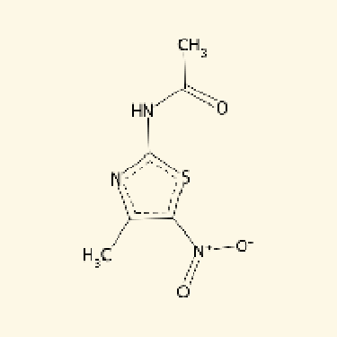 CC(=O)Nc1nc(C)c([N+](=O)[O-])s1